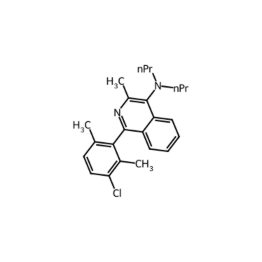 CCCN(CCC)c1c(C)nc(-c2c(C)ccc(Cl)c2C)c2ccccc12